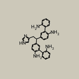 Nc1ccccc1-c1cc(C(Cc2c[nH]cn2)c2ccc(N)c(-c3ccccc3N)c2)ccc1N